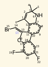 CC1=CC(C)(C)Nc2ccc3c(c21)/C(=C/Br)Oc1c(F)cc(F)cc1-3